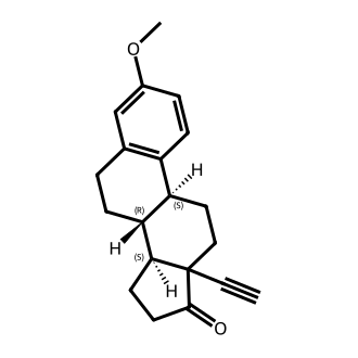 C#CC12CC[C@@H]3c4ccc(OC)cc4CC[C@H]3[C@@H]1CCC2=O